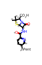 CCCCCc1ccc(C(=O)NC2C(=O)N3C2SC(C)(C)C3C(=O)O)nc1